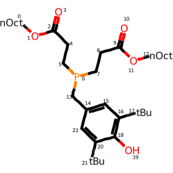 CCCCCCCCOC(=O)CCP(CCC(=O)OCCCCCCCC)Cc1cc(C(C)(C)C)c(O)c(C(C)(C)C)c1